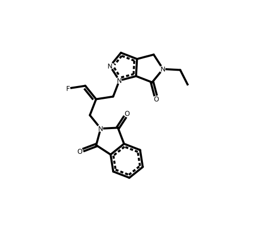 CCN1Cc2cnn(C/C(=C/F)CN3C(=O)c4ccccc4C3=O)c2C1=O